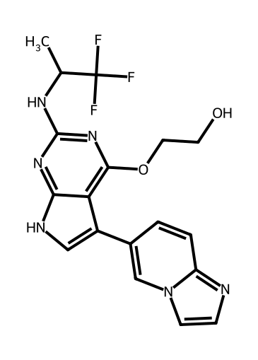 CC(Nc1nc(OCCO)c2c(-c3ccc4nccn4c3)c[nH]c2n1)C(F)(F)F